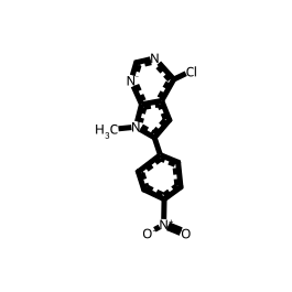 Cn1c(-c2ccc([N+](=O)[O-])cc2)cc2c(Cl)ncnc21